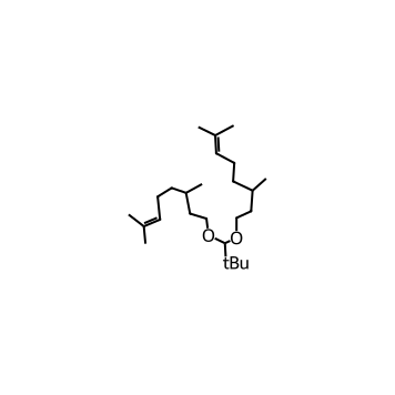 CC(C)=CCCC(C)CCOC(OCCC(C)CCC=C(C)C)C(C)(C)C